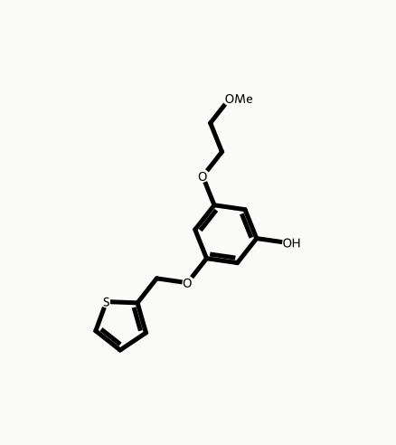 COCCOc1cc(O)cc(OCc2cccs2)c1